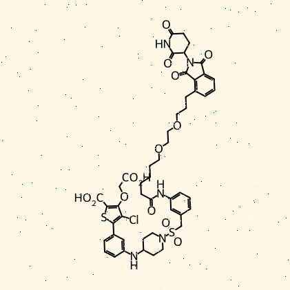 O=C(O)COc1c(C(=O)O)sc(-c2cccc(NC3CCN(S(=O)(=O)Cc4cccc(NC(=O)CCCCCOCCOCCCc5cccc6c5C(=O)N(C5CCC(=O)NC5=O)C6=O)c4)CC3)c2)c1Cl